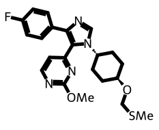 COc1nccc(-c2c(-c3ccc(F)cc3)ncn2[C@H]2CC[C@H](OCSC)CC2)n1